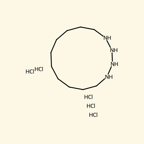 C1CCCCCNNNNCCCC1.Cl.Cl.Cl.Cl.Cl